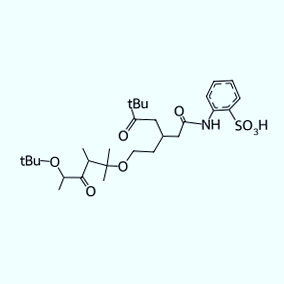 CC(OC(C)(C)C)C(=O)C(C)C(C)(C)OCCC(CC(=O)Nc1ccccc1S(=O)(=O)O)CC(=O)C(C)(C)C